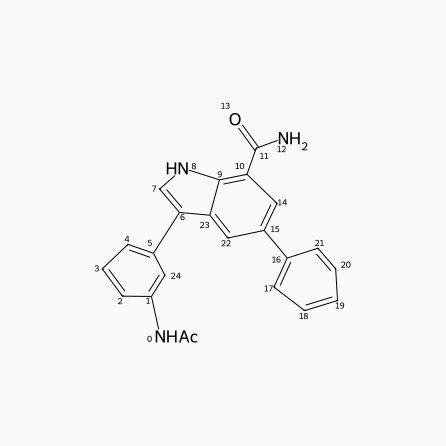 CC(=O)Nc1cccc(-c2c[nH]c3c(C(N)=O)cc(-c4ccccc4)cc23)c1